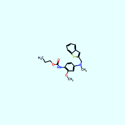 CCCOC(=O)Nc1ccc(N(C)Cc2cc3ccccc3s2)cc1OC